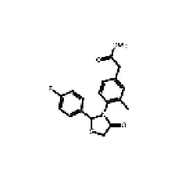 COC(=O)Cc1ccc(N2C(=O)CSC2c2ccc(F)cc2)c(C)c1